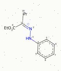 CCOC(=O)/C(=N\Nc1ccccc1)C(C)C